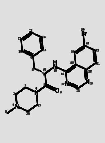 CN1CCN(C(=O)[C@H](Cc2ccccc2)Nc2ncnc3ccc(Br)cc23)CC1